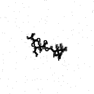 C=C(C)C(=O)OC(CC)C(F)(F)C(=O)OCCC(F)(C(F)(F)F)C(F)(F)F